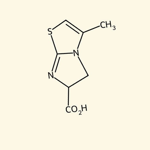 CC1=CSC2=NC(C(=O)O)CN12